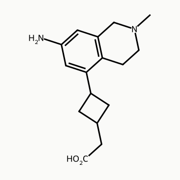 CN1CCc2c(cc(N)cc2C2CC(CC(=O)O)C2)C1